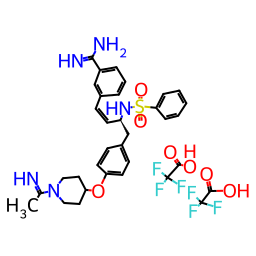 CC(=N)N1CCC(Oc2ccc(C[C@@H](/C=C\c3cccc(C(=N)N)c3)NS(=O)(=O)c3ccccc3)cc2)CC1.O=C(O)C(F)(F)F.O=C(O)C(F)(F)F